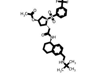 CC(=O)O[C@@H]1C[C@@H](CC(=O)N[C@@H]2CCCc3cc(CNC(C)(C)C)ccc32)N(S(=O)(=O)c2cccc(C(F)(F)F)c2)C1